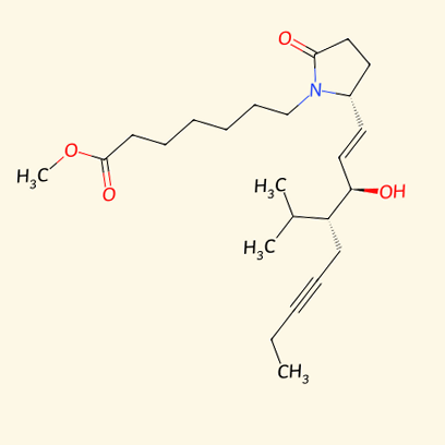 CCC#CC[C@H](C(C)C)[C@H](O)C=C[C@H]1CCC(=O)N1CCCCCCC(=O)OC